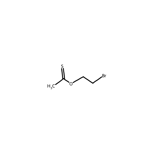 CC(=S)OCCBr